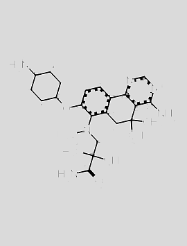 CN(CC(C)(C)C(N)=O)c1c(OC2CCC(N)CC2)ccc2c1CC(C)(C)c1c(N)ncnc1-2